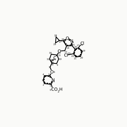 O=C(O)c1cccc(OCC23CCC(OCc4c(-c5c(Cl)cccc5Cl)noc4C4CC4)(CC2)CC3)n1